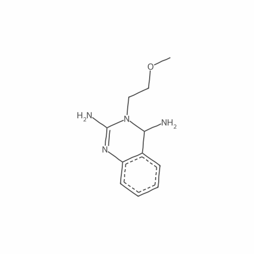 COCCN1C(N)=Nc2ccccc2C1N